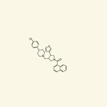 O=C(c1cccc2ccccc12)N1CC(CN2CCC(c3ccc(Cl)cc3)CC2)C(c2ccsc2)C1